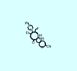 CCc1ccc(=O)c2c([nH]cc(CF)c1N1CCN(C(C)C)CC1)NC1=C(C/C=C\C(C#N)=CC1)C2